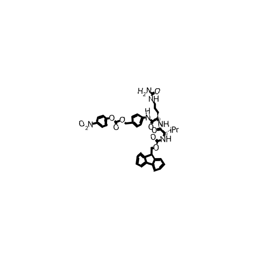 CC(C)[C@H](NC(=O)OCC1c2ccccc2-c2ccccc21)C(=O)N[C@H](CCCNC(N)=O)C(=O)Nc1ccc(COC(=O)Oc2ccc([N+](=O)[O-])cc2)cc1